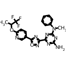 CC(Oc1ccc(-c2nc(-c3nc(N)nc(N(C)c4ccccc4)n3)no2)cn1)C(F)(F)F